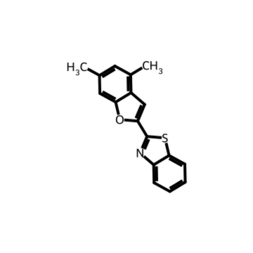 Cc1cc(C)c2cc(-c3nc4ccccc4s3)oc2c1